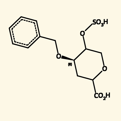 O=C(O)C1C[C@@H](OCc2ccccc2)C(OS(=O)(=O)O)CO1